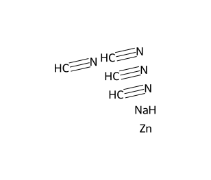 C#N.C#N.C#N.C#N.[NaH].[Zn]